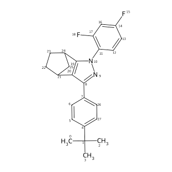 CC(C)(C)c1ccc(-c2nn(-c3ccc(F)cc3F)c3c2C2CCC3C2)cc1